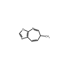 CC1C=Cc2ncoc2N=C1